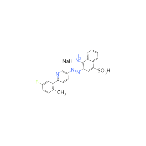 Cc1ccc(F)cc1-c1ccc(N=Nc2cc(S(=O)(=O)O)c3ccccc3c2N)cn1.[NaH]